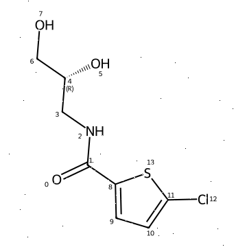 O=C(NC[C@@H](O)CO)c1ccc(Cl)s1